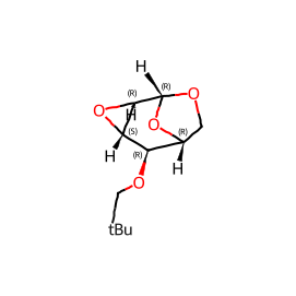 CC(C)(C)CO[C@H]1[C@@H]2O[C@H]2[C@@H]2OC[C@H]1O2